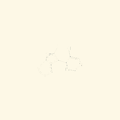 Cc1sc2ccccc2c1C1NC=NC=C1Cl